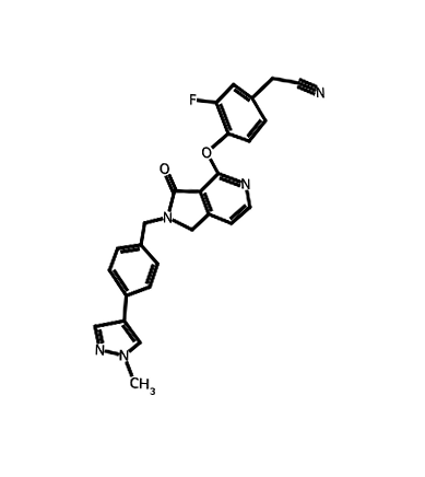 Cn1cc(-c2ccc(CN3Cc4ccnc(Oc5ccc(CC#N)cc5F)c4C3=O)cc2)cn1